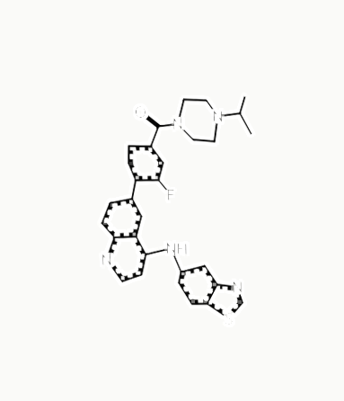 CC(C)N1CCN(C(=O)c2ccc(-c3ccc4nccc(Nc5ccc6scnc6c5)c4c3)c(F)c2)CC1